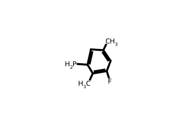 Cc1cc(F)c(C)c(P)c1